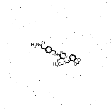 CCN(Cc1cccc2c1OCO2)c1ncnc(NCc2ccc(CC(N)=O)cc2)c1F